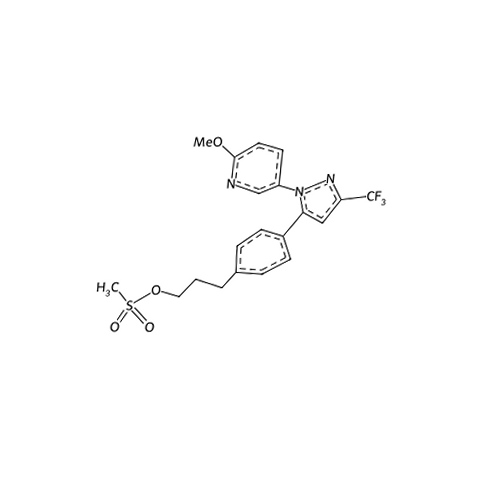 COc1ccc(-n2nc(C(F)(F)F)cc2-c2ccc(CCCOS(C)(=O)=O)cc2)cn1